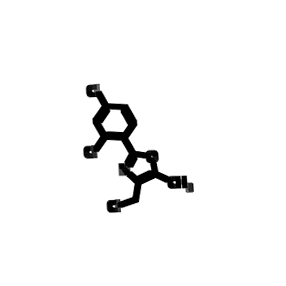 Cc1oc(-c2ccc(Cl)cc2Cl)nc1CCl